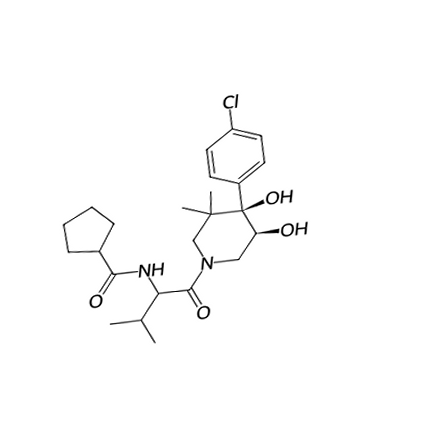 CC(C)C(NC(=O)C1CCCC1)C(=O)N1C[C@H](O)[C@@](O)(c2ccc(Cl)cc2)C(C)(C)C1